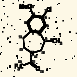 COc1cc2c(cc1Cl)C(C)CN(C(=O)C(F)(F)F)CC2